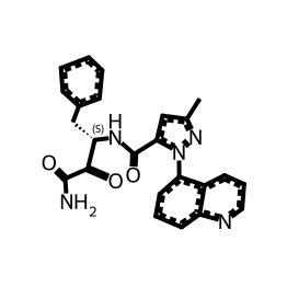 Cc1cc(C(=O)N[C@@H](Cc2ccccc2)C(=O)C(N)=O)n(-c2cccc3ncccc23)n1